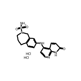 Cl.Cl.NS(=O)(=O)N1CCCc2ccc(Nc3ccnc4[nH]c(=O)ccc34)cc2C1